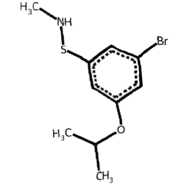 CNSc1cc(Br)cc(OC(C)C)c1